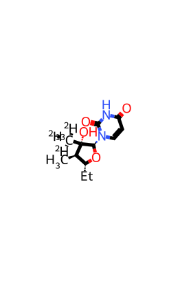 [2H][13C]([2H])([2H])[C@]1(O)[C@H](C)[C@@H](CC)O[C@H]1n1ccc(=O)[nH]c1=O